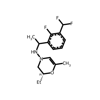 CC[C@@H]1CN(NC(C)c2cccc(C(F)F)c2F)C=C(C)O1